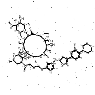 CC[C@H]1OC(=O)[C@H](C)[C@@H](O[C@H]2C[C@@](C)(OC)[C@@H](O)[C@H](C)O2)[C@H](C)[C@@H](O[C@@H]2O[C@H](C)C[C@H](N(C)CCCCc3cn(C[C@H]4CC(c5ccc(N6CCOCC6)c(F)c5)=NO4)nn3)[C@H]2O)[C@](C)(O)C[C@@H](C)CN(C)[C@H](C)[C@@H](O)[C@]1(C)O